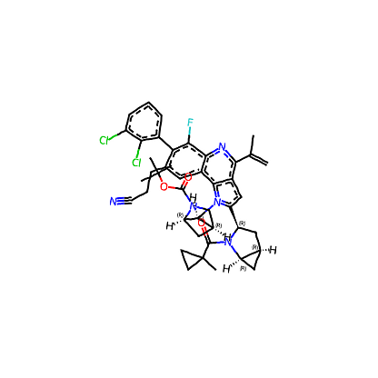 C=C(C)c1nc2c(F)c(-c3cccc(Cl)c3Cl)c(CCC#N)cc2c2c1cc([C@H]1C[C@H]3C[C@H]3N1C(=O)C1(C)CC1)n2[C@H]1[C@@H]2C[C@H]1N(C(=O)OC(C)(C)C)C2